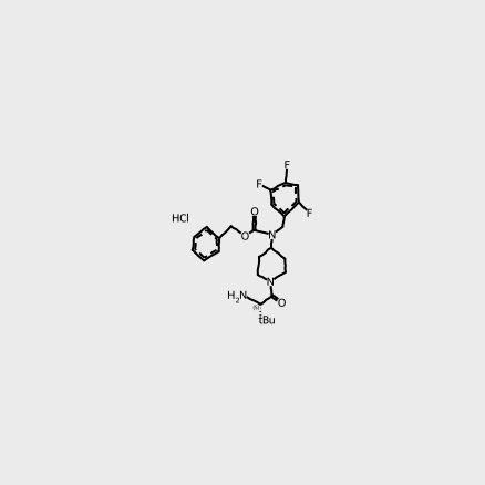 CC(C)(C)[C@H](N)C(=O)N1CCC(N(Cc2cc(F)c(F)cc2F)C(=O)OCc2ccccc2)CC1.Cl